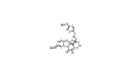 COc1ccc(CCC[N+]2(CCCc3ccc(OC)cc3)CCCC(NC(=O)OC(C)(C)C)C2)cc1